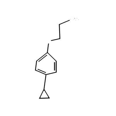 COCCOc1[c]cc(C2CC2)cc1